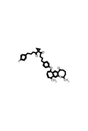 C=C1C=CC=C(Oc2ccc(CCCC(=O)C3(C(=O)CCCc4ccc(F)cc4)CC3)cc2)c2cc3c(cc21)OC(C)CCCC3=O